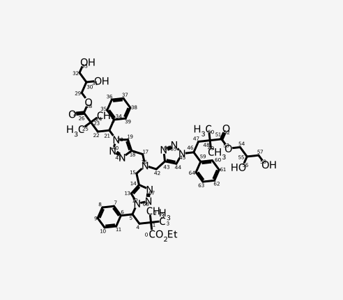 CCOC(=O)C(C)(C)CC(c1ccccc1)n1cc(CN(Cc2cn(C(CC(C)(C)C(=O)OCC(O)CO)c3ccccc3)nn2)Cc2cn(C(CC(C)(C)C(=O)OCC(O)CO)c3ccccc3)nn2)nn1